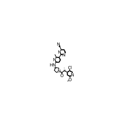 COc1cc([C@@H](C)C(=O)N2CC[C@H](Nc3ccc(-c4nccc(C#N)n4)c(C)n3)C2)c(Cl)cn1